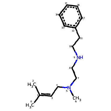 CC(C)=CCN(C)CCNCCc1ccccc1